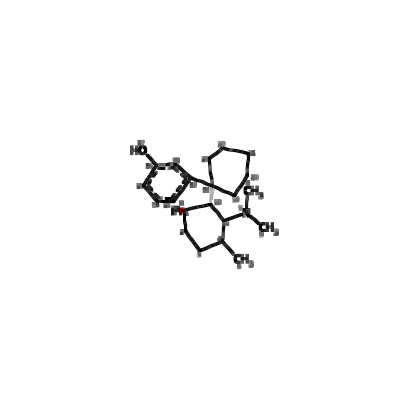 CC(C)C1CCC(C)C(N(C)C)[C@H]1C1(c2cccc(O)c2)CCCCC1